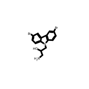 NCC(O)Cn1c2ccc(Br)cc2c2cc(Br)ccc21